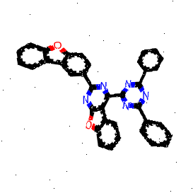 c1ccc(-c2nc(-c3ccccc3)nc(-c3nc(-c4ccc5oc6ccccc6c5c4)nc4oc5ccccc5c34)n2)cc1